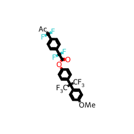 COc1ccc(C(c2ccc(OC(=O)C(F)(F)c3ccc(C(F)(F)C(C)=O)cc3)cc2)(C(F)(F)F)C(F)(F)F)cc1